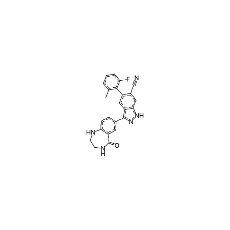 Cc1cccc(F)c1-c1cc2c(-c3ccc4c(c3)C(=O)NCCN4)n[nH]c2cc1C#N